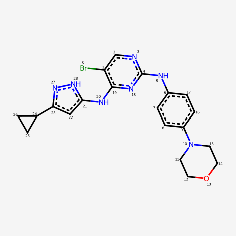 Brc1cnc(Nc2ccc(N3CCOCC3)cc2)nc1Nc1cc(C2CC2)n[nH]1